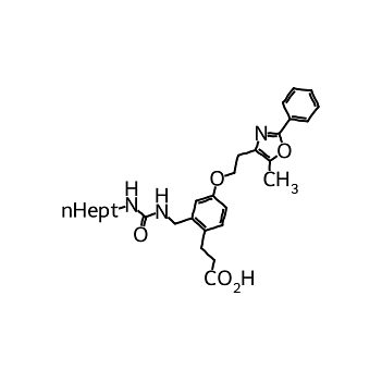 CCCCCCCNC(=O)NCc1cc(OCCc2nc(-c3ccccc3)oc2C)ccc1CCC(=O)O